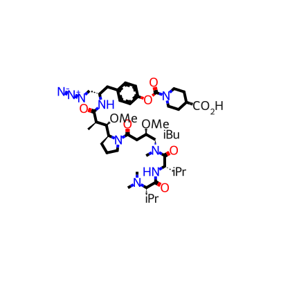 CC[C@H](C)[C@@H]([C@@H](CC(=O)N1CCC[C@H]1[C@H](OC)[C@@H](C)C(=O)N[C@H](CN=[N+]=[N-])Cc1ccc(OC(=O)N2CCC(C(=O)O)CC2)cc1)OC)N(C)C(=O)[C@@H](NC(=O)[C@H](C(C)C)N(C)C)C(C)C